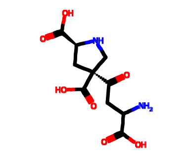 NC(CC(=O)[C@@]1(C(=O)O)CN[C@H](C(=O)O)C1)C(=O)O